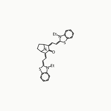 CCN1C(=CC=C2C(=O)C(=CC=C3Sc4ccccc4N3CC)C3CCC2N3C)Sc2ccccc21